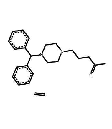 C=C.CC(=O)CCCN1CCN(C(c2ccccc2)c2ccccc2)CC1